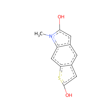 Cn1c(O)cc2cc3cc(O)sc3cc21